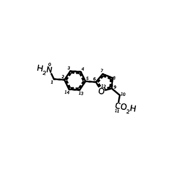 NCc1ccc(-c2ccc(CC(=O)O)o2)cc1